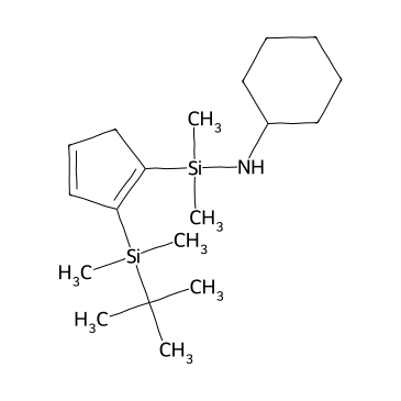 CC(C)(C)[Si](C)(C)C1=C([Si](C)(C)NC2CCCCC2)CC=C1